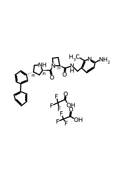 Cc1nc(N)ccc1CNC(=O)[C@@H]1CCN1C(=O)[C@H]1C[C@H](c2cccc(-c3ccccc3)c2)CN1.O=C(O)C(F)(F)F.O=C(O)C(F)(F)F